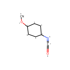 N#COC1CCC(N=C=O)CC1